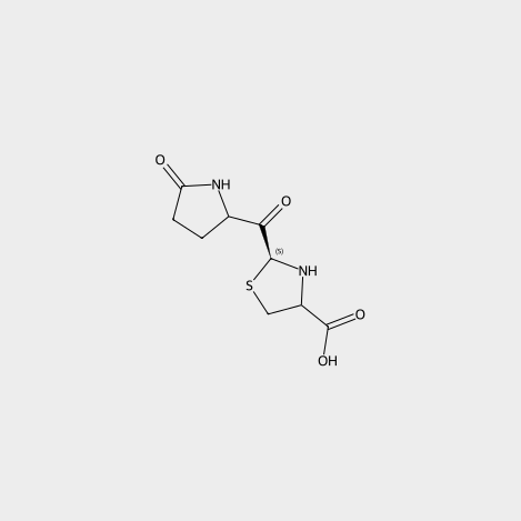 O=C1CCC(C(=O)[C@H]2NC(C(=O)O)CS2)N1